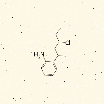 CCC(Cl)CC(C)c1ccccc1N